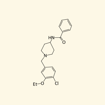 CCOc1cc(CN2CCC(NC(=O)c3ccccc3)CC2)ccc1Cl